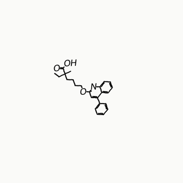 CCC(C)(CCCCOc1cc(-c2ccccc2)c2ccccc2n1)C(=O)O